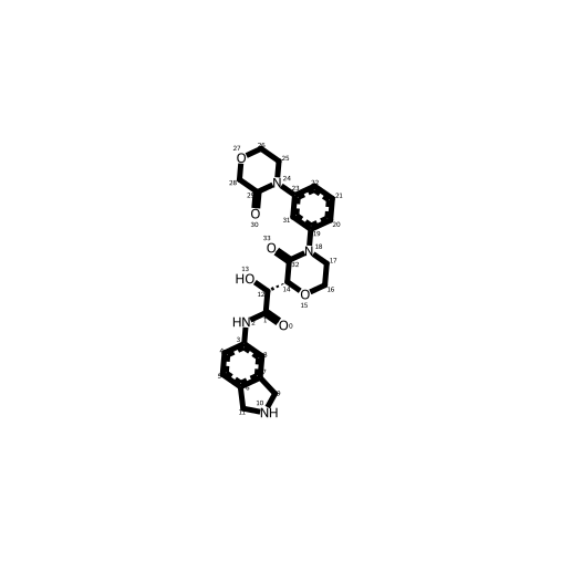 O=C(Nc1ccc2c(c1)CNC2)C(O)[C@H]1OCCN(c2cccc(N3CCOCC3=O)c2)C1=O